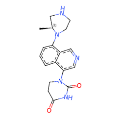 C[C@H]1CNCCN1c1cccc2c(N3CCC(=O)NC3=O)cncc12